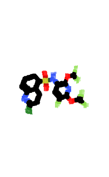 O=S(=O)(Nc1cc(F)c(OC(F)F)nc1OC(F)F)c1cccc2nc(Cl)ccc12